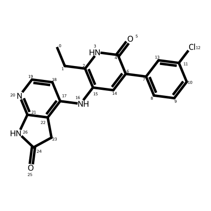 CCc1[nH]c(=O)c(-c2cccc(Cl)c2)cc1Nc1ccnc2c1CC(=O)N2